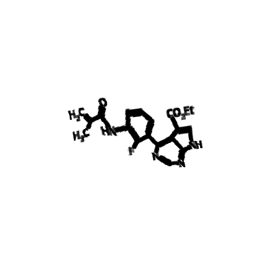 C=C(C)C(=O)Nc1cccc(-c2ncnc3[nH]cc(C(=O)OCC)c23)c1F